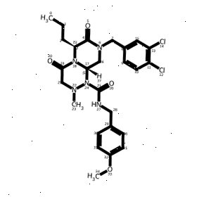 CCC[C@H]1C(=O)N(Cc2ccc(Cl)c(Cl)c2)C[C@H]2N1C(=O)CN(C)N2C(=O)NCc1ccc(OC)cc1